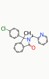 CC1(c2ccc(Cl)cc2)c2ccccc2C(=O)N1Cc1ccccn1